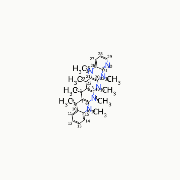 CC1C2=C(N(C)C3=C1C(C)c1ccccc1N3C)N(C)C1=C(C2C)N(C)c2cccnc2N1C